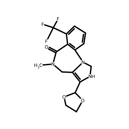 CN1CC2=C(C3OCCO3)NCN2c2cccc(C(F)(F)F)c2C1=O